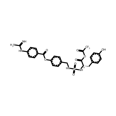 N=C(N)Nc1ccc(C(=O)Oc2ccc(CNS(=O)(=O)N[C@@H](Cc3ccc(O)cc3)C(=O)OC(=O)C(F)(F)F)cc2)cc1